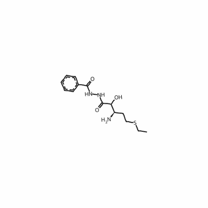 CCSCC[C@@H](N)C(O)C(=O)NNC(=O)c1ccccc1